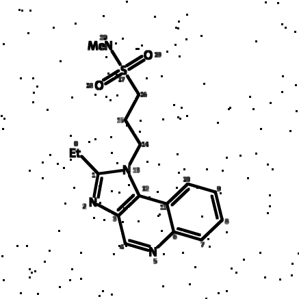 CCc1nc2cnc3ccccc3c2n1CCCS(=O)(=O)NC